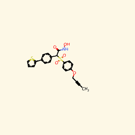 CC#CCOc1ccc(S(=O)(=O)C(C(=O)NO)c2ccc(-c3cccs3)cc2)cc1